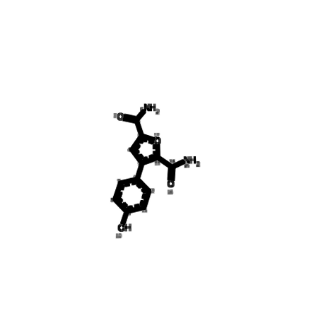 NC(=O)c1cc(-c2ccc(O)cc2)c(C(N)=O)o1